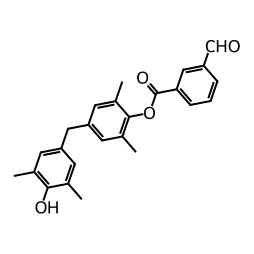 Cc1cc(Cc2cc(C)c(OC(=O)c3cccc(C=O)c3)c(C)c2)cc(C)c1O